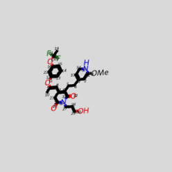 COC1=CC(CCC2=C(/C=C(\C)Oc3cccc(OC(C)(F)F)c3)CC(=O)N(CCCO)C2=O)=CCN1